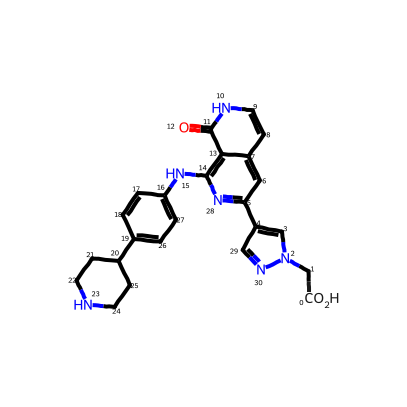 O=C(O)Cn1cc(-c2cc3cc[nH]c(=O)c3c(Nc3ccc(C4CCNCC4)cc3)n2)cn1